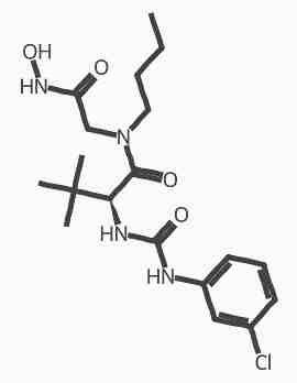 CCCCN(CC(=O)NO)C(=O)[C@@H](NC(=O)Nc1cccc(Cl)c1)C(C)(C)C